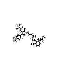 COC(=O)Nc1cccc(Cl)c1N1CCN(CCCn2nc(-c3ccc(C(F)(F)F)cc3)c3c2CCN(S(C)(=O)=O)C3)CC1